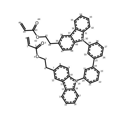 C=CC(=O)OCCc1ccc2c(c1)c1ccccc1n2-c1cccc(-c2cccc(-n3c4ccccc4c4cc(CCOC(=O)C=C)ccc43)c2)c1